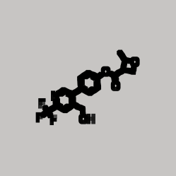 CC1OCC1C(=O)Oc1ccc(-c2cnc(C(F)(F)F)cc2CO)cc1